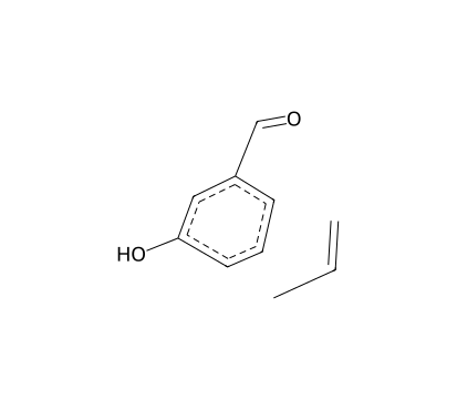 C=CC.O=Cc1cccc(O)c1